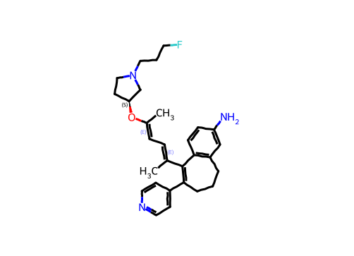 C/C(=C\C=C(/C)C1=C(c2ccncc2)CCCc2cc(N)ccc21)O[C@H]1CCN(CCCF)C1